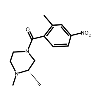 Cc1cc([N+](=O)[O-])ccc1C(=O)N1CCN(C)[C@@H](C)C1